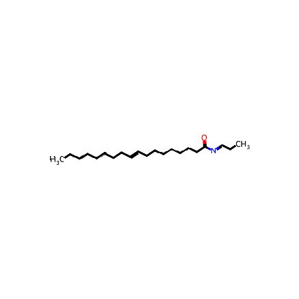 CCC=NC(=O)CCCCCCCC=CCCCCCCCC